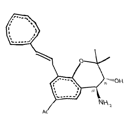 CC(=O)c1cc(C=Cc2ccccc2)c2c(c1)[C@H](N)[C@@H](O)C(C)(C)O2